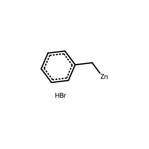 Br.[Zn][CH2]c1ccccc1